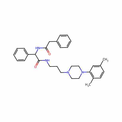 Cc1ccc(C)c(N2CCN(CCCNC(=O)C(NC(=O)Cc3ccccc3)c3ccccc3)CC2)c1